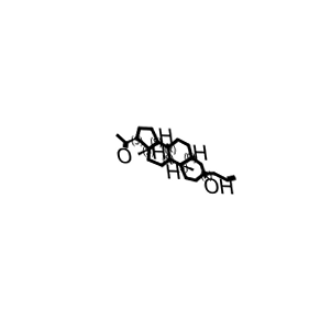 C=CC[C@]1(O)CC[C@@]2(C)[C@H](CC[C@@H]3[C@@H]2CC[C@]2(C)[C@@H](C(C)=O)CC[C@@H]32)C1